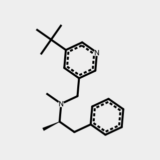 C[C@H](Cc1ccccc1)N(C)Cc1cncc(C(C)(C)C)c1